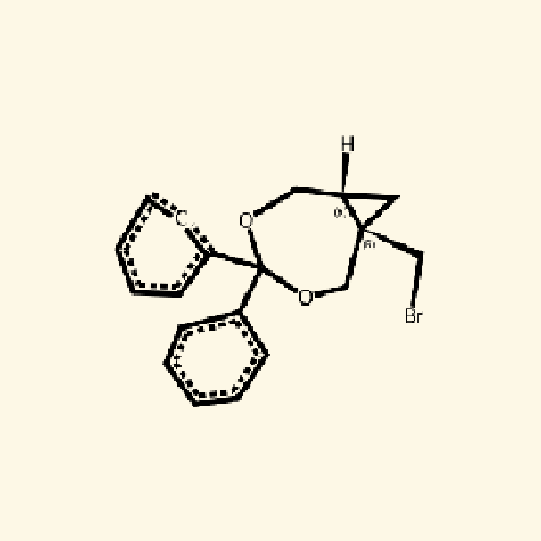 BrC[C@@]12COC(c3ccccc3)(c3ccccc3)OC[C@@H]1C2